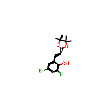 CC1(C)OB(C=Cc2cc(Br)cc(F)c2O)OC1(C)C